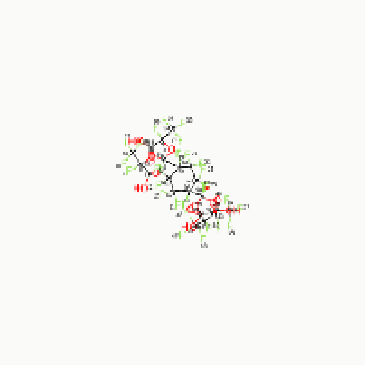 O=C(O)C(F)(OC(F)(OC(F)(C(=O)O)C(F)(F)F)C1(F)C(F)(F)C(F)(F)C(F)(C(F)(OC(F)(C(=O)O)C(F)(F)F)OC(F)(C(=O)O)C(F)(F)F)C(F)(F)C1(F)F)C(F)(F)F